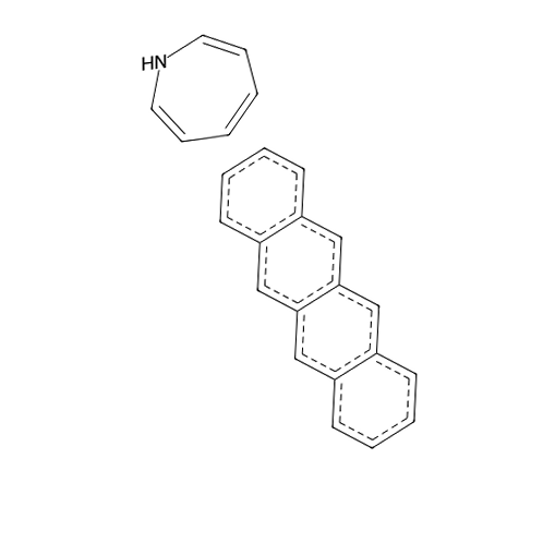 C1=CC=CNC=C1.c1ccc2cc3cc4ccccc4cc3cc2c1